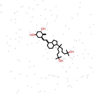 C=C1/C(=C\C=C2/CCC[C@@]3(C)C2CCC3C(C)(CCCC(C)(C)O)CCCC(C)(C)O)CC(O)C[C@@H]1O